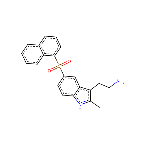 Cc1[nH]c2ccc(S(=O)(=O)c3cccc4ccccc34)cc2c1CCN